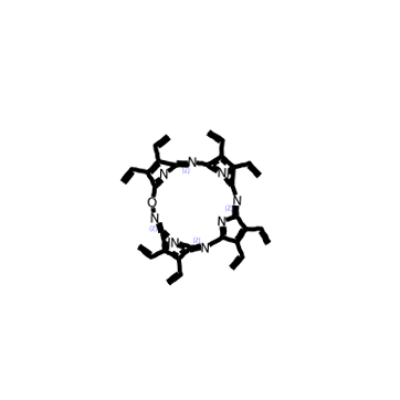 C=CC1=C(C=C)/C2=N/c3[nH]c(c(C=C)c3C=C)/N=C3\N=C(O/N=c4\[nH]/c(c(C=C)c4C=C)=N\C1=N2)C(C=C)=C3C=C